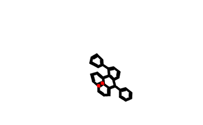 c1ccc([C](c2ccccc2)c2cccc(-c3ccccc3)c2-c2ccccc2)cc1